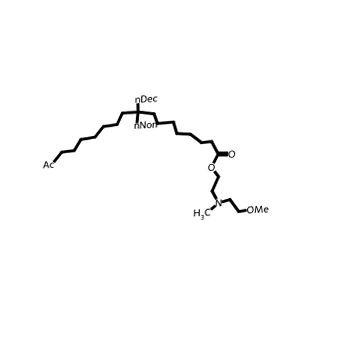 CCCCCCCCCCC(CCCCCCCCC)(CCCCCCCC(C)=O)CCCCCCCC(=O)OCCN(C)CCOC